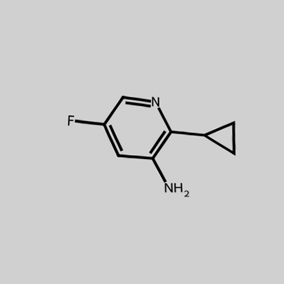 Nc1cc(F)cnc1C1CC1